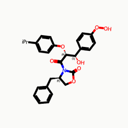 CC(C)c1ccc(O[C@@H](C(=O)N2C(=O)OC[C@H]2Cc2ccccc2)[C@@H](O)c2ccc(OO)cc2)cc1